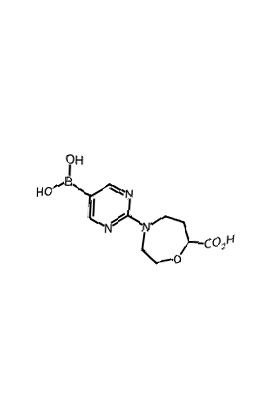 O=C(O)C1CCN(c2ncc(B(O)O)cn2)CCO1